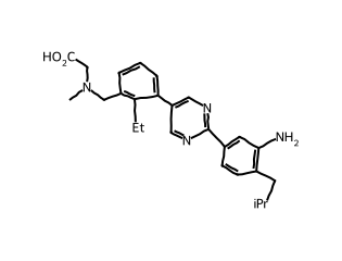 CCc1c(CN(C)CC(=O)O)cccc1-c1cnc(-c2ccc(CC(C)C)c(N)c2)nc1